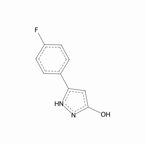 Oc1cc(-c2ccc(F)cc2)[nH]n1